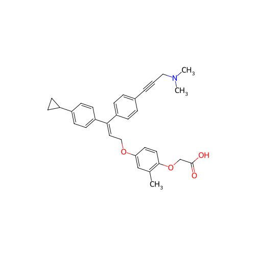 Cc1cc(OCC=C(c2ccc(C#CCN(C)C)cc2)c2ccc(C3CC3)cc2)ccc1OCC(=O)O